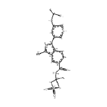 CC(F)Oc1cncc(-n2nc(C(C)C)c3cc(C(=O)NC4(C)CS(=O)(=O)C4)cnc32)c1